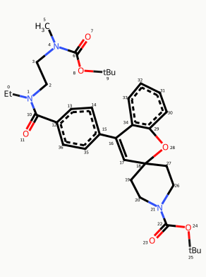 CCN(CCN(C)C(=O)OC(C)(C)C)C(=O)c1ccc(C2=CC3(CCN(C(=O)OC(C)(C)C)CC3)Oc3ccccc32)cc1